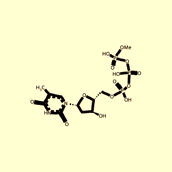 COP(=O)(O)OP(=O)(O)OP(=O)(O)OC[C@H]1O[C@@H](n2cc(C)c(=O)[nH]c2=O)C[C@@H]1O